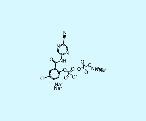 N#Cc1cnc(NC(=O)c2cc(Cl)ccc2OP(=O)([O-])[O-])cn1.O=P([O-])([O-])[O-].[Na+].[Na+].[Na+].[Na+].[Na+]